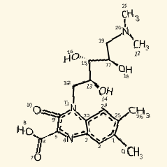 Cc1cc2nc(C(=O)O)c(=O)n(C[C@H](O)[C@H](O)[C@H](O)CN(C)C)c2cc1C